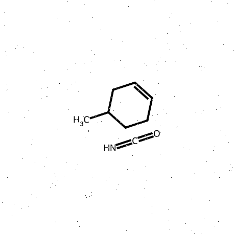 CC1CC=CCC1.N=C=O